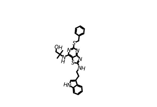 CC(C)(CO)Nc1nc(SCc2ccccc2)nc2nc(NCCc3c[nH]c4ccccc34)sc12